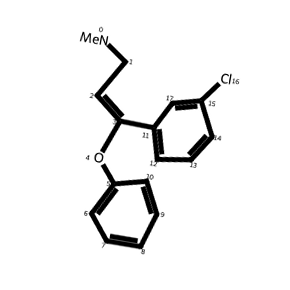 CNCC=C(Oc1ccccc1)c1cccc(Cl)c1